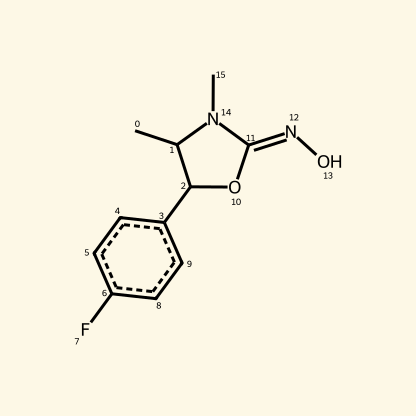 CC1C(c2ccc(F)cc2)OC(=NO)N1C